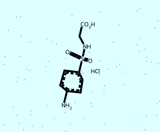 Cl.Nc1ccc(S(=O)(=O)NCC(=O)O)cc1